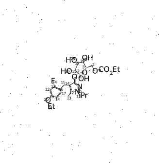 CCOC(=O)OC[C@H]1O[C@@](O)(Oc2nn(C(C)C)c(C)c2Cc2ccc(OCC)cc2F)[C@H](O)[C@@H](O)[C@@H]1O